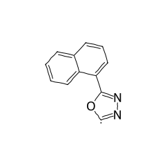 [c]1nnc(-c2cccc3ccccc23)o1